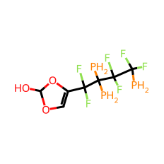 OC1OC=C(C(F)(F)C(P)(P)C(F)(F)C(F)(F)P)O1